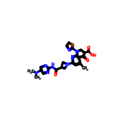 Cc1cc(N2CC(C(=O)Nc3ncc(N(C)C)cn3)C2)nc2c1c(=O)c(C(=O)O)cn2-c1nccs1